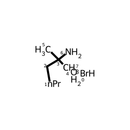 Br.CCCCC(C)(C)N.O